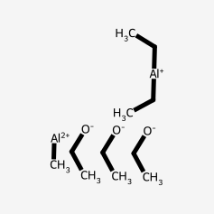 CC[O-].CC[O-].CC[O-].C[CH2][Al+][CH2]C.[CH3][Al+2]